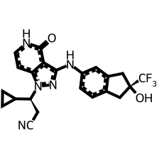 N#CC[C@@H](C1CC1)n1nc(Nc2ccc3c(c2)C[C@@](O)(C(F)(F)F)C3)c2c(=O)[nH]ccc21